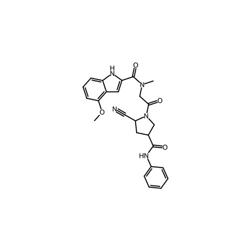 COc1cccc2[nH]c(C(=O)N(C)CC(=O)N3CC(C(=O)Nc4ccccc4)CC3C#N)cc12